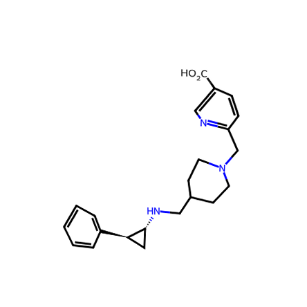 O=C(O)c1ccc(CN2CCC(CN[C@@H]3C[C@H]3c3ccccc3)CC2)nc1